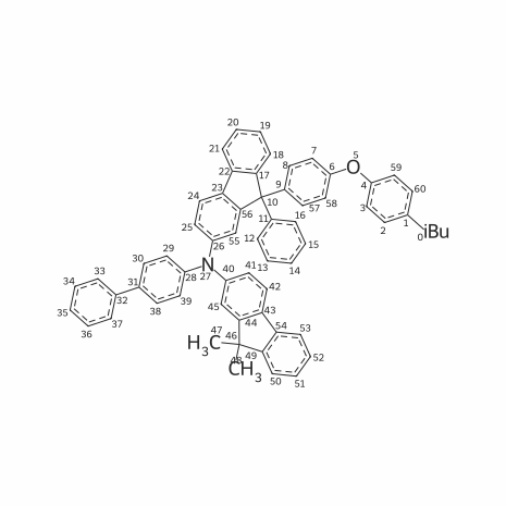 CCC(C)c1ccc(Oc2ccc(C3(c4ccccc4)c4ccccc4-c4ccc(N(c5ccc(-c6ccccc6)cc5)c5ccc6c(c5)C(C)(C)c5ccccc5-6)cc43)cc2)cc1